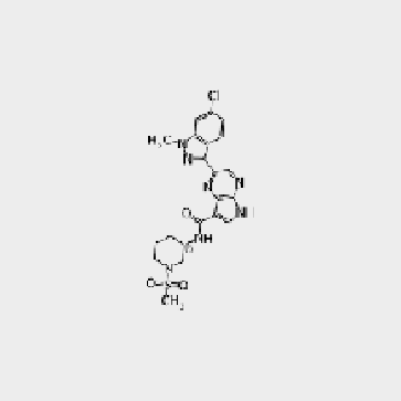 Cn1nc(-c2cnc3[nH]cc(C(=O)N[C@@H]4CCCN(S(C)(=O)=O)C4)c3n2)c2ccc(Cl)cc21